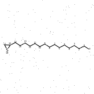 CCCCCCCCCCCCCCCCC1CS1